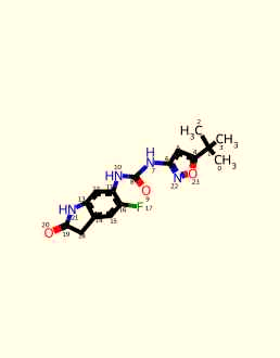 CC(C)(C)c1cc(NC(=O)Nc2cc3c(cc2F)CC(=O)N3)no1